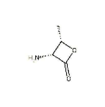 C[C@@H]1OC(=O)[C@@H]1N